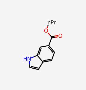 CCCOC(=O)c1ccc2cc[nH]c2c1